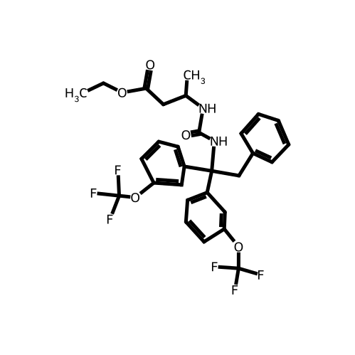 CCOC(=O)CC(C)NC(=O)NC(Cc1ccccc1)(c1cccc(OC(F)(F)F)c1)c1cccc(OC(F)(F)F)c1